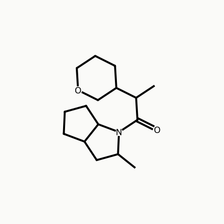 CC(C(=O)N1C(C)CC2CCCC21)C1CCCOC1